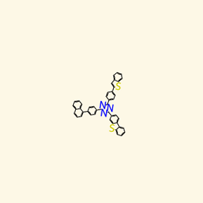 c1ccc2sc(-c3ccc(-c4nc(-c5ccc(-c6cccc7ccccc67)cc5)nc(-c5ccc6c(c5)sc5ccccc56)n4)cc3)cc2c1